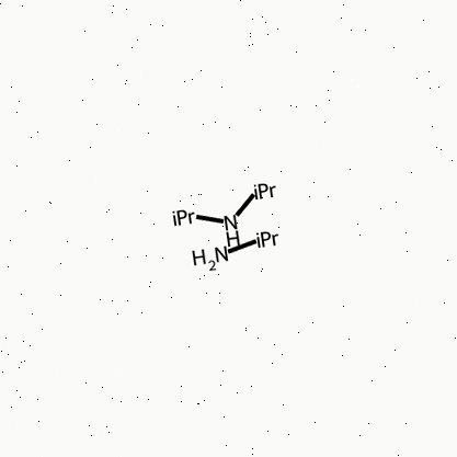 CC(C)N.CC(C)NC(C)C